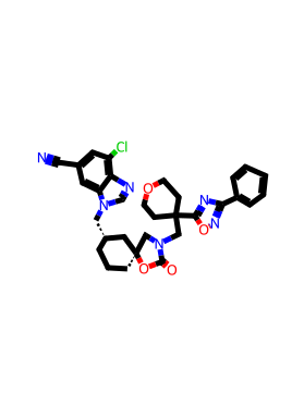 N#Cc1cc(Cl)c2ncn(C[C@H]3CCC[C@]4(C3)CN(CC3(c5nc(-c6ccccc6)no5)CCOCC3)C(=O)O4)c2c1